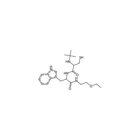 CCOCCNC(=O)C(Cc1c[nH]c2ccccc12)NC(=O)C(CS)NC(C)(C)C